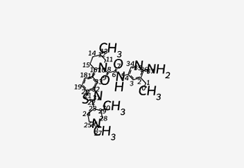 CCc1cc(NC(=O)C(=O)N2C[C@@H](C)CC[C@@H]2c2ccc3sc([C@@H]4CCN(C)C[C@@H]4C)nc3c2)cnc1N